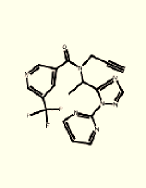 C#CCN(C(=O)c1cncc(C(F)(F)F)c1)C(C)c1ncnn1-c1ncccn1